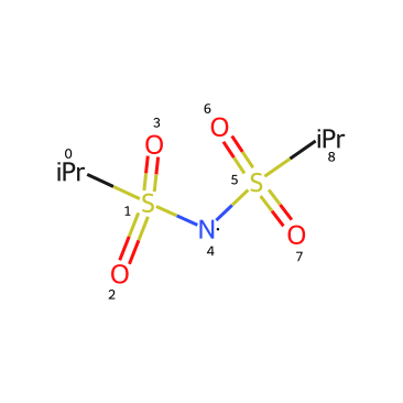 CC(C)S(=O)(=O)[N]S(=O)(=O)C(C)C